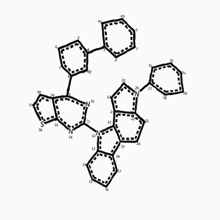 c1ccc(-c2cccc(-c3nc(-n4c5ccccc5c5ccc6c(ccn6-c6ccccc6)c54)nc4sccc34)c2)cc1